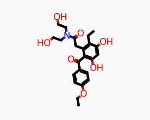 CCOc1ccc(C(=O)c2c(O)cc(O)c(CC)c2CC(=O)N(CCO)CCO)cc1